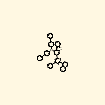 c1ccc(-c2ccc(N(c3ccc(-c4ccccc4)cc3)c3cc(-c4nc(-c5ccccc5)nc(-c5cccc6ccccc56)n4)cc4oc5ccccc5c34)cc2)cc1